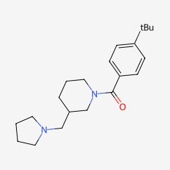 CC(C)(C)c1ccc(C(=O)N2CCCC(CN3CCCC3)C2)cc1